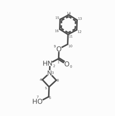 O=C(NN1CC(CO)C1)OCc1ccccc1